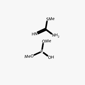 COP(O)OC.CSC(=N)N